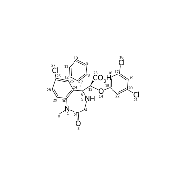 CN1C(=O)CN[C@](c2ccccc2)([C@H](Oc2cc(Cl)cc(Cl)c2)C(=O)O)c2cc(Cl)ccc21